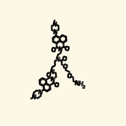 CN(CCCN(CCN1C(=O)c2cccc3c(N4CCN(C)CC4)ccc(c23)C1=O)C(=O)COCCOCCN)CCN1C(=O)c2cccc3c(N4CCN(C)CC4)ccc(c23)C1=O